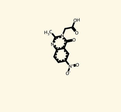 Cc1nc2ccc([N+](=O)[O-])cc2c(=O)n1CC(=O)O